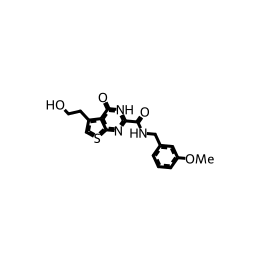 COc1cccc(CNC(=O)c2nc3scc(CCO)c3c(=O)[nH]2)c1